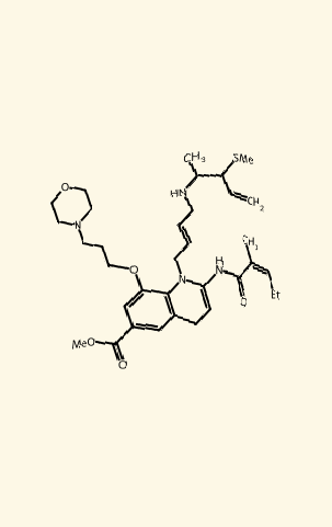 C=CC(SC)C(C)NC/C=C/CN1C(NC(=O)/C(C)=C\CC)=CCc2cc(C(=O)OC)cc(OCCCN3CCOCC3)c21